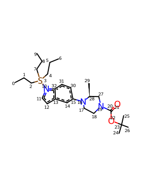 CCCS(CCC)(CCC)n1ccc2cc(N3CCN(C(=O)OC(C)(C)C)C[C@@H]3C)ccc21